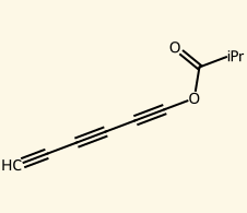 C#CC#CC#COC(=O)C(C)C